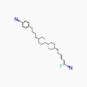 N#CC(F)=CC=CCC[C@H]1CC[C@H]([C@H]2CC[C@H](CCCCc3ccc(C#N)cc3)CC2)CC1